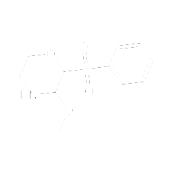 COC1NCCOC1S(=O)(=O)c1ccccc1